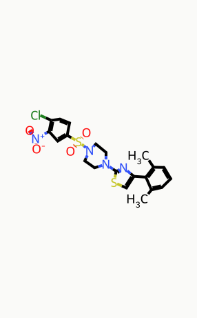 Cc1cccc(C)c1-c1csc(N2CCN(S(=O)(=O)c3ccc(Cl)c([N+](=O)[O-])c3)CC2)n1